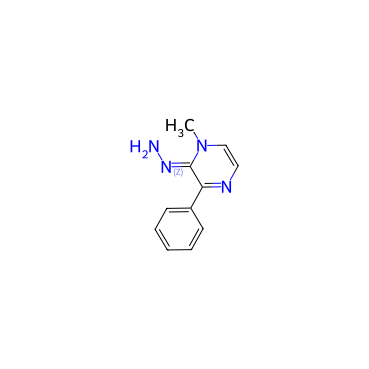 Cn1ccnc(-c2ccccc2)/c1=N/N